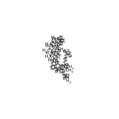 CCC(C)C(C(CC(=O)N1CCC[C@H]1C(OC)C(C)C(=O)NC(Cc1cccc(NC(=O)C(CCCNC(N)=O)NC(=O)C(NC(=O)CCOCCN2C(=O)C=CC2=O)C(C)C)c1)c1nccs1)OC)N(C)C(=O)C(NC(=O)[C@@H]1[C@H]2CC[C@H](C2)N1C)C(C)C